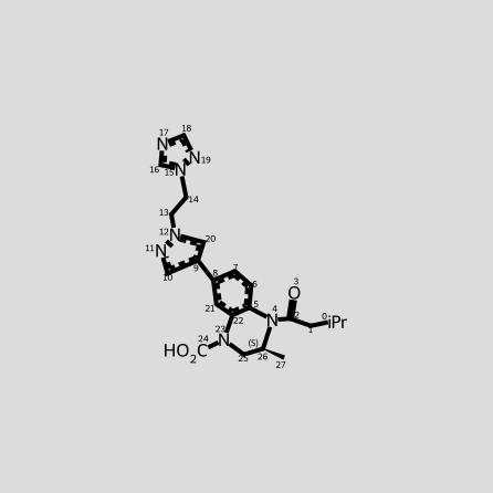 CC(C)CC(=O)N1c2ccc(-c3cnn(CCn4cncn4)c3)cc2N(C(=O)O)C[C@@H]1C